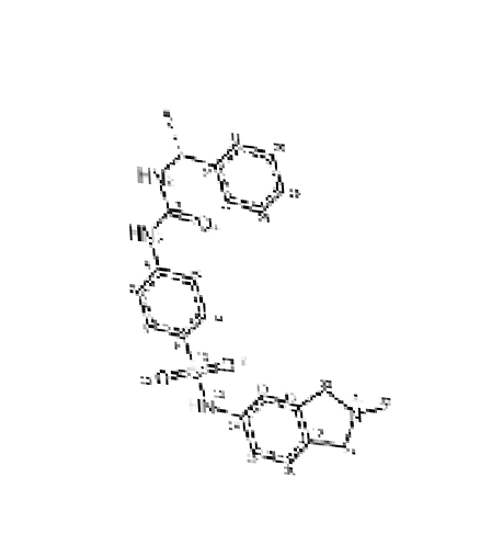 C[C@@H](NC(=O)Nc1ccc(S(=O)(=O)Nc2ccc3c(c2)CN(C)C3)cc1)c1ccccc1